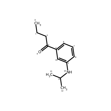 CCCC(=O)c1cccc(NC(C)C)c1